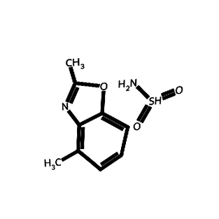 Cc1nc2c(C)cccc2o1.N[SH](=O)=O